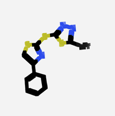 CCCc1nnc(Sc2nc(-c3ccccc3)cs2)s1